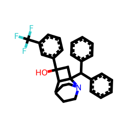 OC1(c2cccc(C(F)(F)F)c2)CC2(C(c3ccccc3)c3ccccc3)C1C1CCN2CC1